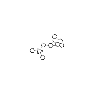 CC1(C)c2cc(-c3cccc(-c4nc(-c5ccccc5)nc(-c5ccccc5)n4)c3)ccc2-c2cc3cccc4c3c(c21)N(c1ccccc1)C=C4